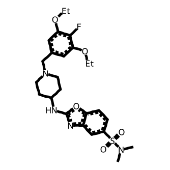 CCOc1cc(CN2CCC(Nc3nc4cc(S(=O)(=O)N(C)C)ccc4o3)CC2)cc(OCC)c1F